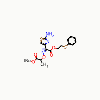 CC(O/N=C(\C(=O)OCCSc1ccccc1)c1csc(N)n1)C(=O)OC(C)(C)C